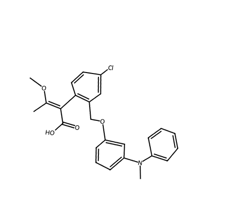 COC(C)=C(C(=O)O)c1ccc(Cl)cc1COc1cccc(N(C)c2ccccc2)c1